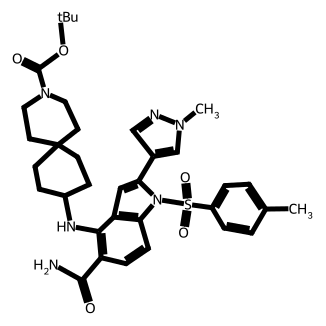 Cc1ccc(S(=O)(=O)n2c(-c3cnn(C)c3)cc3c(NC4CCC5(CC4)CCN(C(=O)OC(C)(C)C)CC5)c(C(N)=O)ccc32)cc1